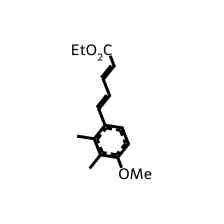 CCOC(=O)C=CC=Cc1ccc(OC)c(C)c1C